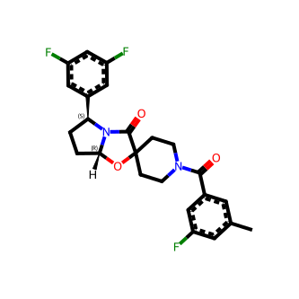 Cc1cc(F)cc(C(=O)N2CCC3(CC2)O[C@@H]2CC[C@@H](c4cc(F)cc(F)c4)N2C3=O)c1